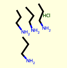 CCCN.CCCN.CCCN.CCCN.Cl